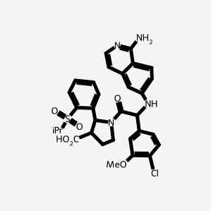 COc1cc(C(Nc2ccc3c(N)nccc3c2)C(=O)N2CCC(C(=O)O)C2c2ccccc2S(=O)(=O)C(C)C)ccc1Cl